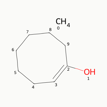 C.O/C1=C/CCCCCC1